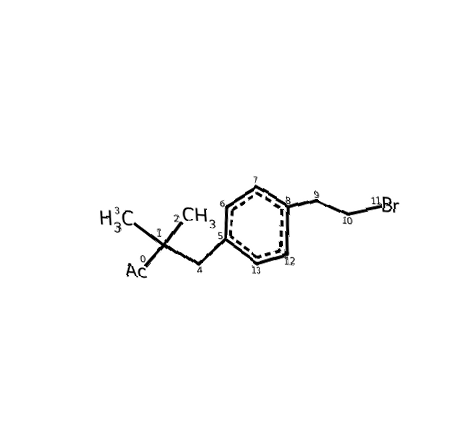 CC(=O)C(C)(C)Cc1ccc(CCBr)cc1